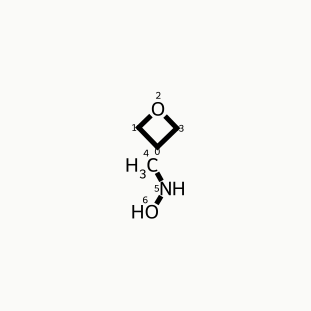 C1COC1.CNO